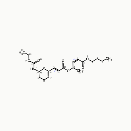 CCCCOC(=O)/C=C\C(C)OC(=O)/C=C/C1=CCC[C@@H](NC(=O)OCC)C1